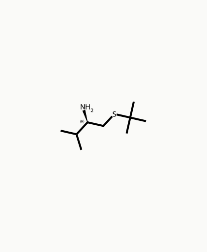 CC(C)[C@@H](N)CSC(C)(C)C